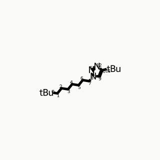 CC(C)(C)CCCCCCCn1cc(C(C)(C)C)nn1